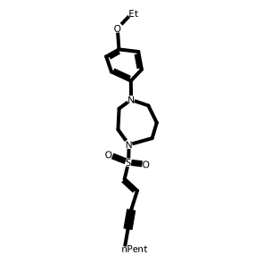 CCCCCC#CC=CS(=O)(=O)N1CCCN(c2ccc(OCC)cc2)CC1